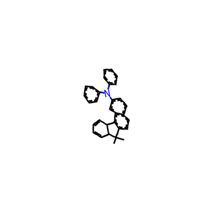 CC1(C)c2ccc3ccc(N(c4ccccc4)c4ccccc4)cc3c2C2C=CC=CC21